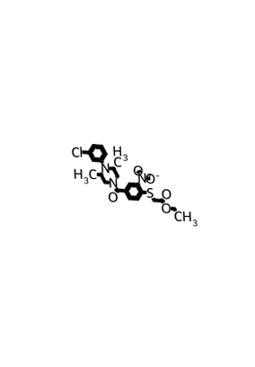 CCOC(=O)CSc1ccc(C(=O)N2CC(C)N(c3cccc(Cl)c3)C(C)C2)cc1[N+](=O)[O-]